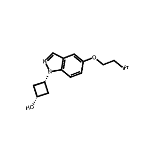 CC(C)CCOc1ccc2c(cnn2[C@H]2C[C@@H](O)C2)c1